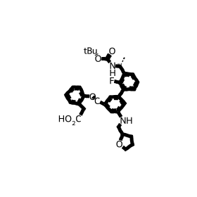 C[C@@H](NC(=O)OC(C)(C)C)c1cccc(-c2cc(COc3ccccc3CC(=O)O)cc(NCC3CCCO3)c2)c1F